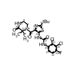 CC(C)(C)c1nc(C(=O)N2CCNC(=O)C2(C)C)c(NC(=O)Nc2ccc(F)c(Cl)c2Cl)s1